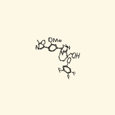 COc1cc(-c2nnc3n2CCCC3(CO)Oc2cc(F)c(F)c(F)c2)ccc1-c1cnc(C)o1